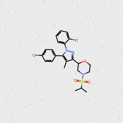 Cc1c(C2CN(S(=O)(=O)C(C)C)CCO2)nn(-c2ccccc2Cl)c1-c1ccc(Cl)cc1